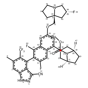 Cc1cc2[nH]nc(C#N)c2c(-c2c(F)cc3c(N4C[C@H]5CC[C@@H](C4)N5C(=O)OC(C)(C)C)nc(OC[C@@]45CCCN4C[C@H](F)C5)nc3c2F)c1C(F)(F)F